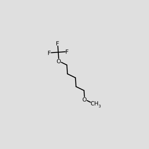 COCCCCCOC(F)(F)F